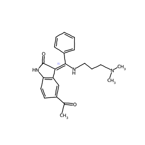 CC(=O)c1ccc2c(c1)/C(=C(\NCCCN(C)C)c1ccccc1)C(=O)N2